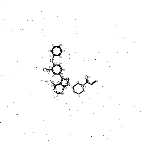 C=CC(=O)N1CCC[C@H](n2nc(-c3ccc(Oc4ccccc4)c(Cl)c3)c3c(N)ncnc32)C1